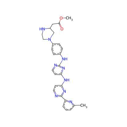 COC(=O)CC1CN(c2ccc(Nc3nccc(Nc4ccnc(-c5cccc(C)n5)n4)n3)cc2)CCN1